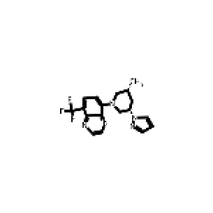 C[C@@H]1C[C@H](n2cccn2)CN(c2ccc(C(F)(F)F)c3nccnc23)C1